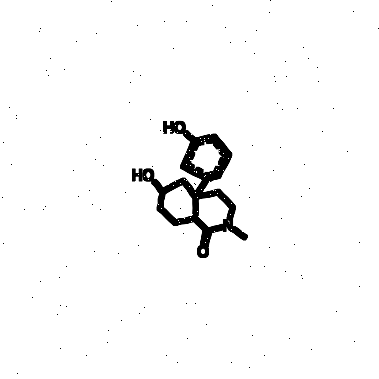 CN1CCC2(c3cccc(O)c3)CC(O)CCC2C1=O